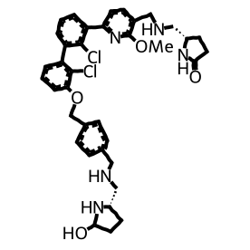 COc1nc(-c2cccc(-c3cccc(OCc4ccc(CNC[C@@H]5CCC(O)N5)cc4)c3Cl)c2Cl)ccc1CNC[C@@H]1CCC(=O)N1